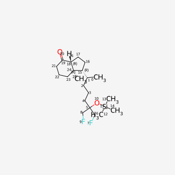 CC(CCCC(CF)(CF)O[Si](C)(C)C)[C@H]1CC[C@H]2C(=O)CCC[C@]12C